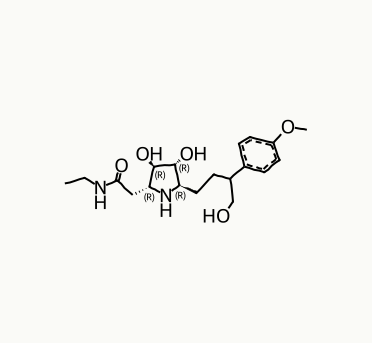 CCNC(=O)C[C@H]1N[C@H](CCC(CO)c2ccc(OC)cc2)[C@@H](O)[C@@H]1O